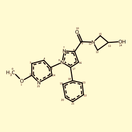 COc1ccc(-n2nc(C(=O)N3CC(O)C3)cc2-c2ccccc2)cn1